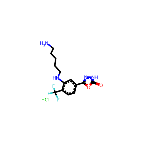 Cl.NCCCCCNc1cc(-c2n[nH]c(=O)o2)ccc1C(F)(F)F